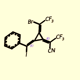 N#C/C(=C1/C(=C(Br)C(F)(F)F)/C1=C(/I)c1ccccc1)C(F)(F)F